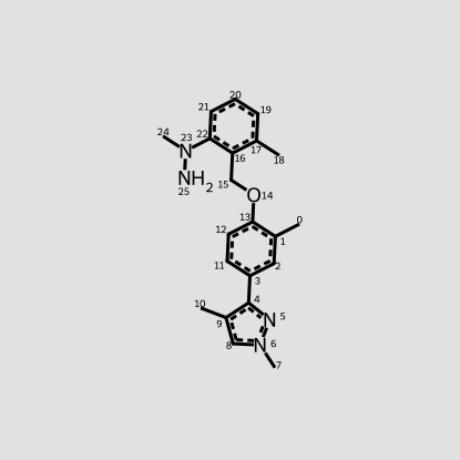 Cc1cc(-c2nn(C)cc2C)ccc1OCc1c(C)cccc1N(C)N